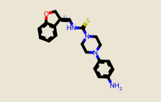 Nc1ccc(N2CCN(C(=S)N/C=C3/COc4ccccc43)CC2)cc1